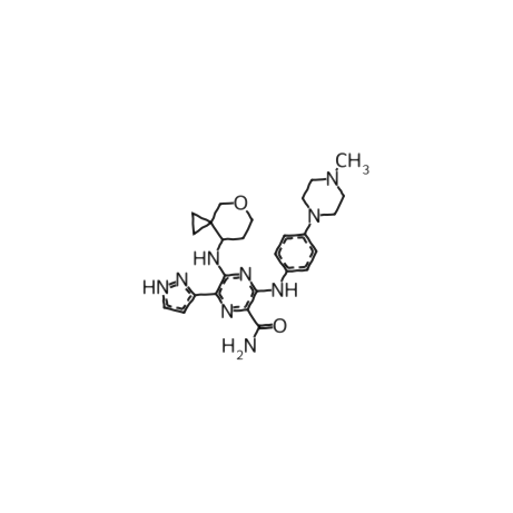 CN1CCN(c2ccc(Nc3nc(NC4CCOCC45CC5)c(-c4cc[nH]n4)nc3C(N)=O)cc2)CC1